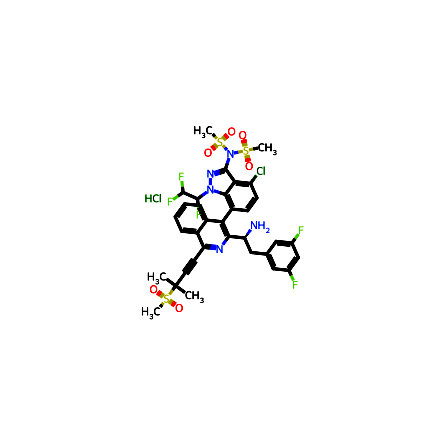 CC(C)(C#Cc1nc([C@@H](N)Cc2cc(F)cc(F)c2)c(-c2ccc(Cl)c3c(N(S(C)(=O)=O)S(C)(=O)=O)nn(C(F)C(F)F)c23)c2ccccc12)S(C)(=O)=O.Cl